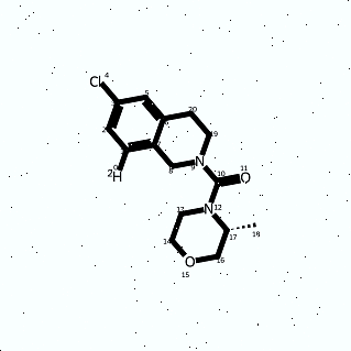 [2H]c1cc(Cl)cc2c1CN(C(=O)N1CCOC[C@H]1C)CC2